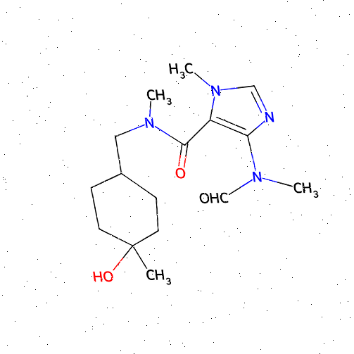 CN(CC1CCC(C)(O)CC1)C(=O)c1c(N(C)C=O)ncn1C